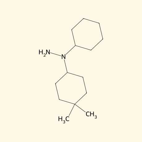 CC1(C)CCC(N(N)C2CCCCC2)CC1